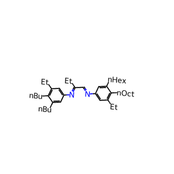 CCCCCCCCc1c(CC)cc(N=CC(CC)=Nc2cc(CC)c(CCCC)c(CCCC)c2)cc1CCCCCC